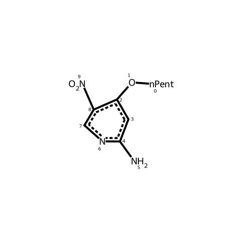 CCCCCOc1cc(N)ncc1[N+](=O)[O-]